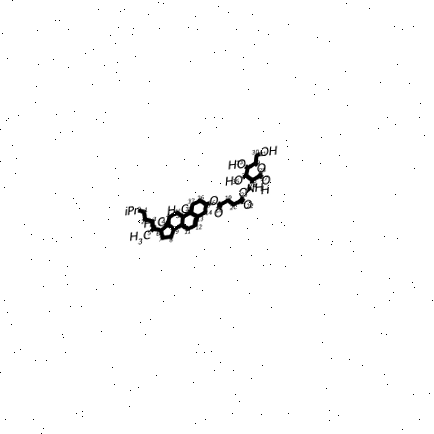 CC(C)CCCC(C)C1CCC2C3CC=C4CC(OC(=O)CCC(=O)ONC5C(O)OC(CO)C(O)C5O)CCC4(C)C3CCC12C